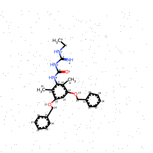 CCNC(=N)NC(=O)Nc1c(C)c(OCc2ccccc2)cc(OCc2ccccc2)c1C